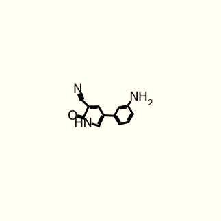 N#Cc1cc(-c2cccc(N)c2)c[nH]c1=O